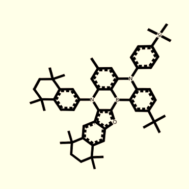 Cc1cc2c3c(c1)N(c1ccc4c(c1)C(C)(C)CCC4(C)C)c1c(oc4cc5c(cc14)C(C)(C)CCC5(C)C)B3c1cc(C(C)(C)C)ccc1N2c1ccc([Si](C)(C)C)cc1